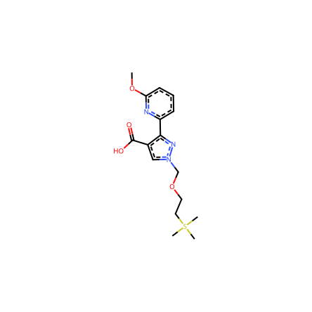 COc1cccc(-c2nn(COCCS(C)(C)C)cc2C(=O)O)n1